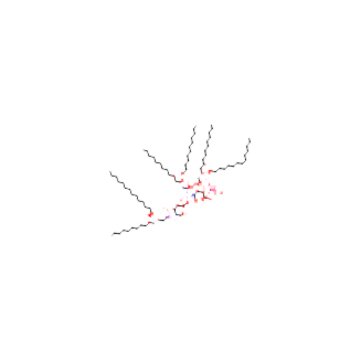 CCCCCCCCCCCCCC(=O)O[C@H](CCCCCCCCCCC)CC(=O)NC1[C@@H](O)[C@H](O)C(CO[C@@H]2OC(CO)[C@@H](OP(=O)(O)O)[C@H](OC(=O)C[C@@H](CCCCCCCCCCC)OC(=O)CCCCCCCCCCCCC)C2NC(=O)C[C@@H](CCCCCCCCCCC)OC(=O)CCCCCCCCCCC)O[C@@H]1C